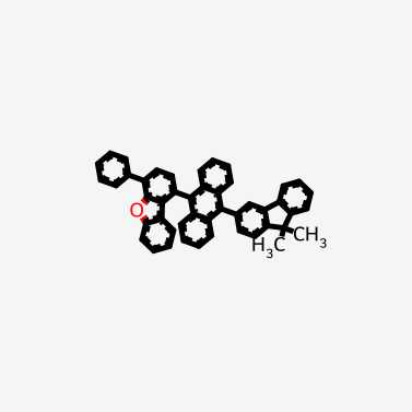 CC1(C)c2ccccc2-c2cc(-c3c4ccccc4c(-c4ccc(-c5ccccc5)c5oc6ccccc6c45)c4ccccc34)ccc21